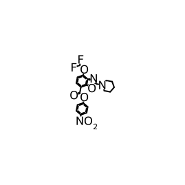 O=C(Oc1ccc([N+](=O)[O-])cc1)c1ccc(OC(F)F)c2nc(N3CCCCC3)oc12